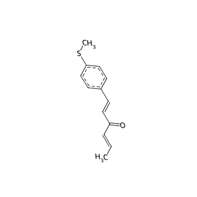 CC=CC(=O)C=Cc1ccc(SC)cc1